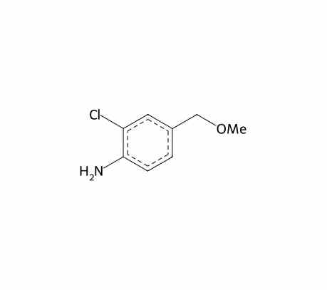 COCc1ccc(N)c(Cl)c1